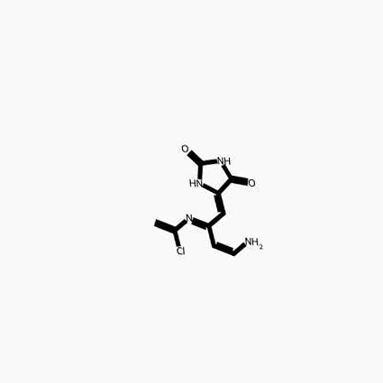 C=C(Cl)/N=C(\C=C/N)/C=C1\NC(=O)NC1=O